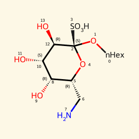 CCCCCCO[C@]1(S(=O)(=O)O)O[C@H](CN)[C@H](O)[C@H](O)[C@H]1O